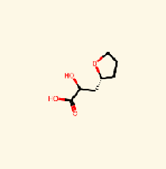 O=C(O)C(O)C[C@H]1CCCO1